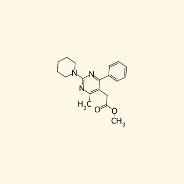 COC(=O)Cc1c(C)nc(N2CCCCC2)nc1-c1ccccc1